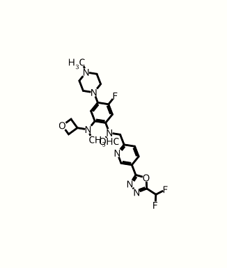 CN1CCN(c2cc(N(C)C3COC3)c(N(C=O)Cc3ccc(-c4nnc(C(F)F)o4)cn3)cc2F)CC1